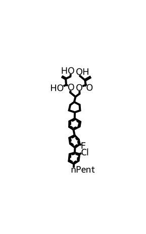 C=C(CO)C(=O)OCC(COC(O)C(=C)CO)C1CCC(c2ccc(-c3ccc(-c4ccc(CCCCC)cc4Cl)c(F)c3)cc2)CC1